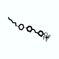 CCCCCC[C@H]1CC[C@H](c2ccc(CCc3ccc(OC(F)(F)F)cc3)cc2)CC1